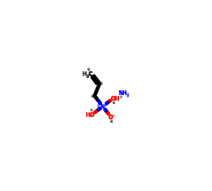 C=CC[N+]([O-])(O)O.N